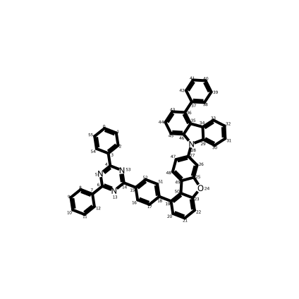 c1ccc(-c2nc(-c3ccccc3)nc(-c3ccc(-c4cccc5oc6cc(-n7c8ccccc8c8c(-c9ccccc9)cccc87)ccc6c45)cc3)n2)cc1